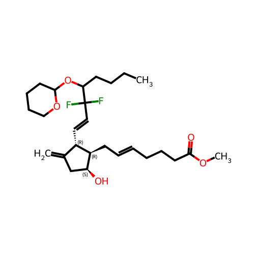 C=C1C[C@H](O)[C@H](CC=CCCCC(=O)OC)[C@H]1C=CC(F)(F)C(CCCC)OC1CCCCO1